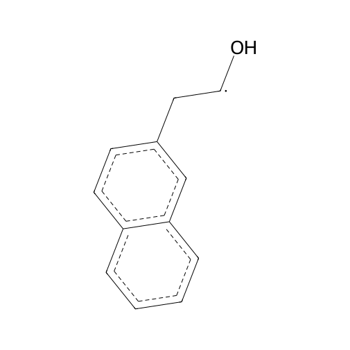 O[CH]Cc1ccc2ccccc2c1